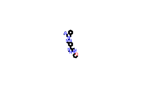 CN(C)CCN(Cc1ccccc1)c1ncc2cc(-c3ncnc4c3cnn4C3CCCCO3)ccc2n1